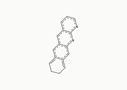 C1=c2cc3cc4cccnc4nc3cc2=CCC1